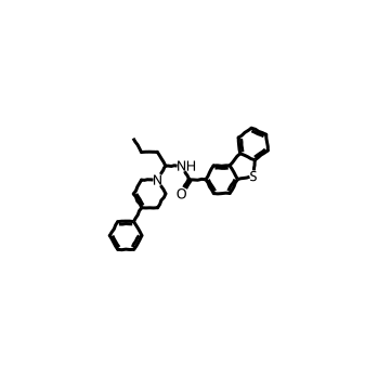 CCCC(NC(=O)c1ccc2sc3ccccc3c2c1)N1CC=C(c2ccccc2)CC1